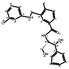 Cc1ccc(C(=O)N[C@@H](CO)[C@@H](O)c2ccccc2)cc1CNc1cncc(Cl)n1